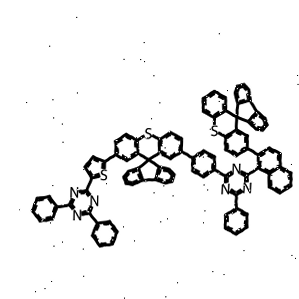 c1ccc(-c2nc(-c3ccccc3)nc(-c3ccc(-c4ccc5c(c4)C4(c6cc(-c7ccc(-c8nc(-c9ccccc9)nc(-c9c(-c%10ccc%11c(c%10)C%10(c%12ccccc%12S%11)c%11ccccc%11-c%11ccccc%11%10)ccc%10ccccc9%10)n8)cc7)ccc6S5)c5ccccc5-c5ccccc54)s3)n2)cc1